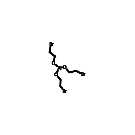 BrCC[O][Al]([O]CCBr)[O]CCBr